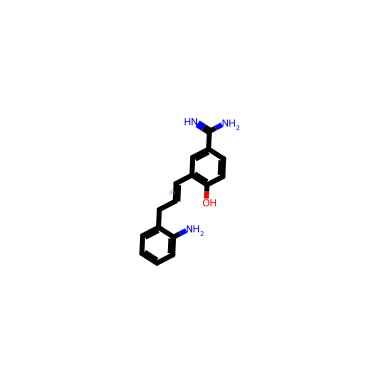 N=C(N)c1ccc(O)c(/C=C/Cc2ccccc2N)c1